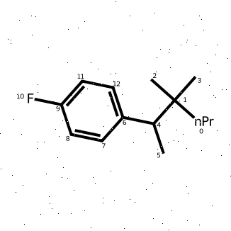 [CH2]CCC(C)(C)C(C)c1ccc(F)cc1